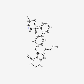 CCCCc1nc2c(n1Cc1ccc(-c3ccccc3S(=O)(=O)/N=C\N(C)C)cc1)C(=O)CCS2